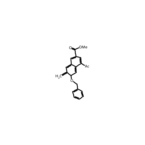 C=C1C=c2cc(C(=O)OC)cc(C(C)=O)c2=CC1OCc1ccccc1